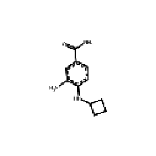 NC(=O)c1ccc(NC2CCC2)c(N)c1